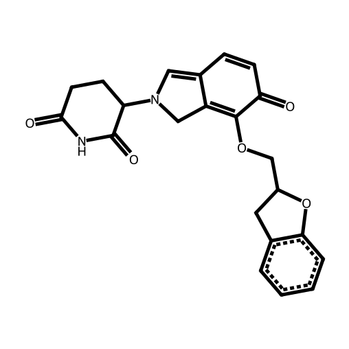 O=C1CCC(N2C=C3C=CC(=O)C(OCC4Cc5ccccc5O4)=C3C2)C(=O)N1